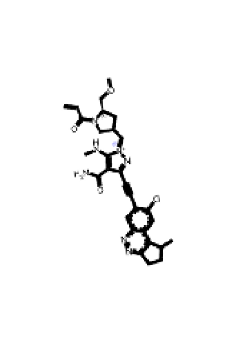 C=CC(=O)N1CC(/C=[N+]2/N=C(C#Cc3cc4nnc5c(c4cc3Cl)C(C)CC5)C(C(N)=O)=C2NC)C[C@@H]1COC